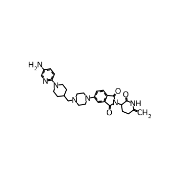 C=C1CCC(N2C(=O)c3ccc(N4CCN(CC5CCN(c6ccc(N)cn6)CC5)CC4)cc3C2=O)C(=O)N1